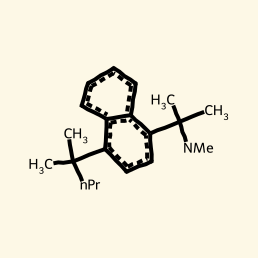 CCCC(C)(C)c1ccc(C(C)(C)NC)c2ccccc12